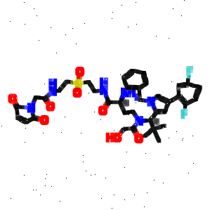 CC(C)(C)[C@H](c1cc(-c2cc(F)ccc2F)cn1Cc1ccccc1)N(CC[C@H](N)C(=O)NCCS(=O)(=O)CCNC(=O)CN1C(=O)C=CC1=O)C(=O)CO